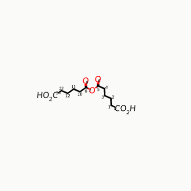 O=C(O)CCCCC(=O)OC(=O)CCCCC(=O)O